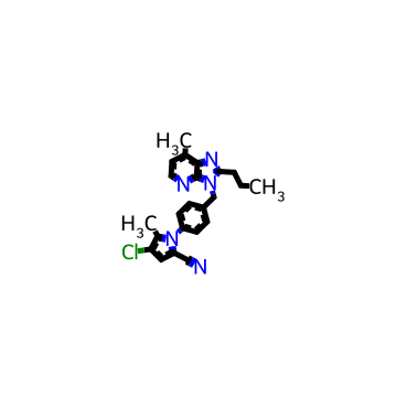 CCCc1nc2c(C)ccnc2n1Cc1ccc(-n2c(C#N)cc(Cl)c2C)cc1